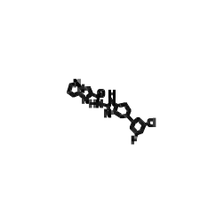 O=C(Nc1nc2cc(-c3cc(F)cc(Cl)c3)ccc2[nH]1)c1cn2ncccc2n1